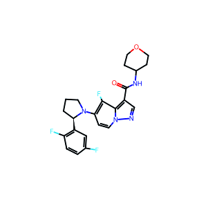 O=C(NC1CCOCC1)c1cnn2ccc(N3CCC[C@@H]3c3cc(F)ccc3F)c(F)c12